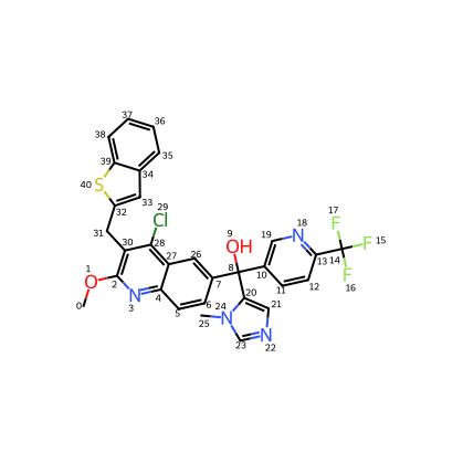 COc1nc2ccc(C(O)(c3ccc(C(F)(F)F)nc3)c3cncn3C)cc2c(Cl)c1Cc1cc2ccccc2s1